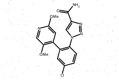 COc1cc(-c2cc(Cl)ccc2-n2cc(C(N)=O)nn2)c(OC)cn1